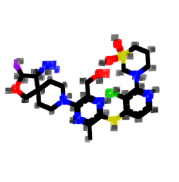 Cc1nc(N2CCC3(CC2)CO[C@@H](I)[C@H]3N)c(CO)nc1Sc1ccnc(N2CCCS(=O)(=O)C2)c1Cl